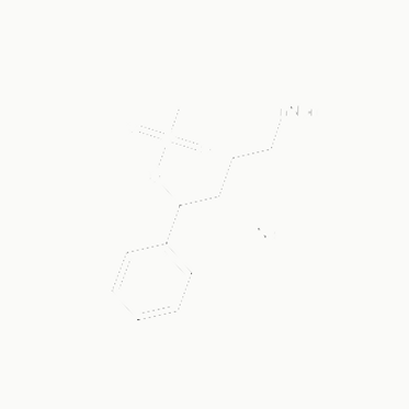 CCCCCCCCCCCCC(OS(=O)(=O)[O-])c1ccccc1.[Na+]